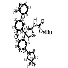 CC(C)(C)OC(=O)NC1=NC2(CS1)c1cc(-c3cccnc3F)ccc1Oc1cnc(N3CCC(F)(F)C3)cc12